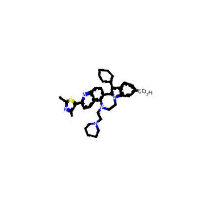 Cc1nc(C)c(-c2ccc3c4c(ccc3n2)-c2c(C3CCCCC3)c3ccc(C(=O)O)cc3n2CCN4CCN2CCCCC2)s1